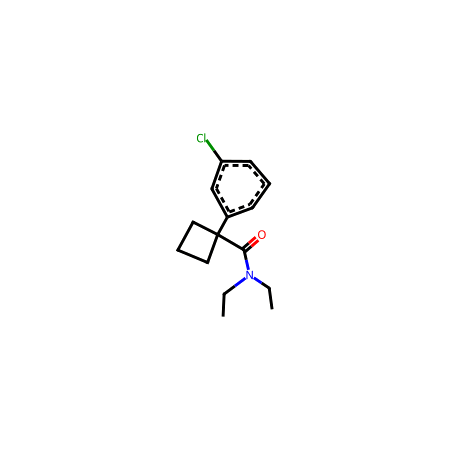 CCN(CC)C(=O)C1(c2cccc(Cl)c2)CCC1